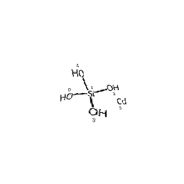 O[Si](O)(O)O.[Cd]